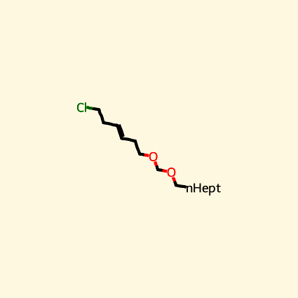 CCCCCCCCOCOCCC=CCCCl